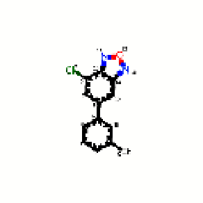 CCc1cccc(-c2cc(Cl)c3nonc3c2)c1